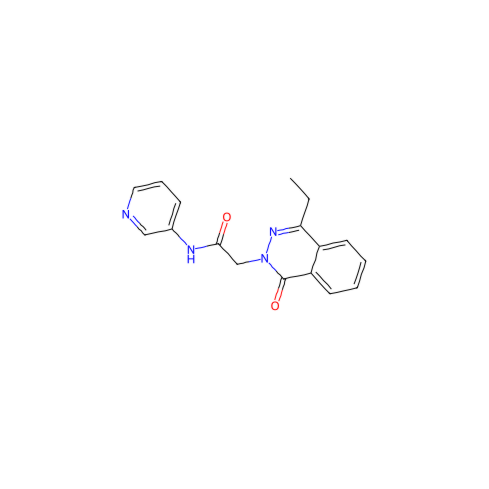 CCc1nn(CC(=O)Nc2cccnc2)c(=O)c2ccccc12